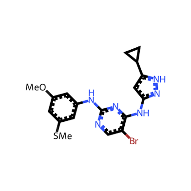 COc1cc(Nc2ncc(Br)c(Nc3cc(C4CC4)[nH]n3)n2)cc(SC)c1